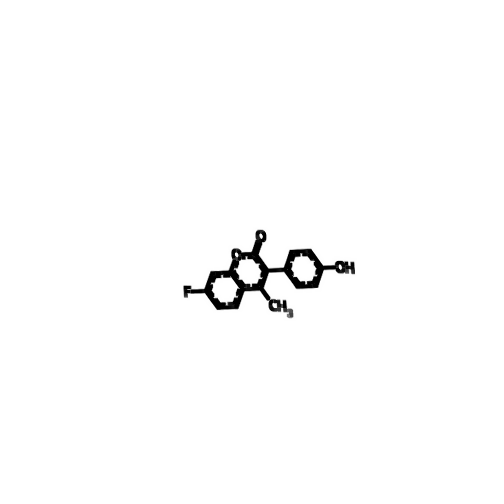 Cc1c(-c2ccc(O)cc2)c(=O)oc2cc(F)ccc12